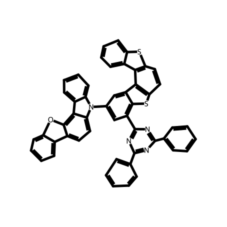 c1ccc(-c2nc(-c3ccccc3)nc(-c3cc(-n4c5ccccc5c5c6oc7ccccc7c6ccc54)cc4c3sc3ccc5sc6ccccc6c5c34)n2)cc1